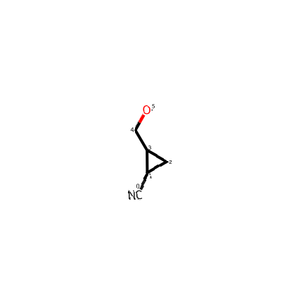 N#CC1CC1C[O]